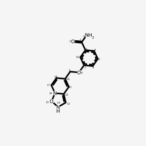 NC(=O)c1cccc(OCC2=CC3=CNON3C=C2)c1